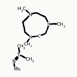 CN1CCN(C)CCN(C)CC1.[CH3][Ti]([CH3])=[N]C(C)(C)C